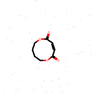 O=C1C=CC(=O)OCCCCO1